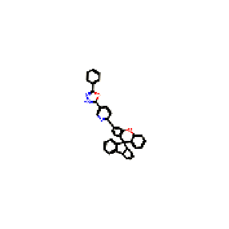 C1=CC2c3ccccc3C3(c4ccccc4Oc4cc(-c5ccc(C6NN=C(c7ccccc7)O6)cn5)ccc43)C2C=C1